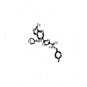 CCn1ncc2c(NC3CCOCC3)c(-c3nc(C(=O)NCc4ccc(C)cc4)co3)cnc21